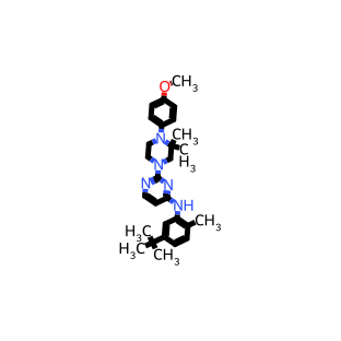 COc1ccc(N2CCN(c3nccc(Nc4cc(C(C)(C)C)ccc4C)n3)CC2(C)C)cc1